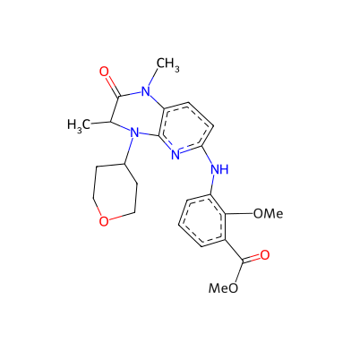 COC(=O)c1cccc(Nc2ccc3c(n2)N(C2CCOCC2)C(C)C(=O)N3C)c1OC